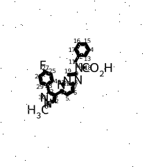 Cn1cc(-c2ccc3nc(N(Cc4ccccc4)C(=O)O)cn3n2)c(-c2ccc(F)cc2)n1